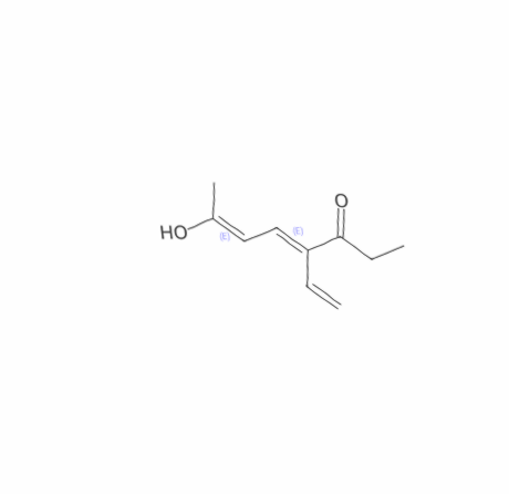 C=C/C(=C\C=C(/C)O)C(=O)CC